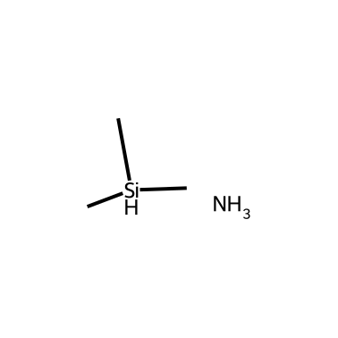 C[SiH](C)C.N